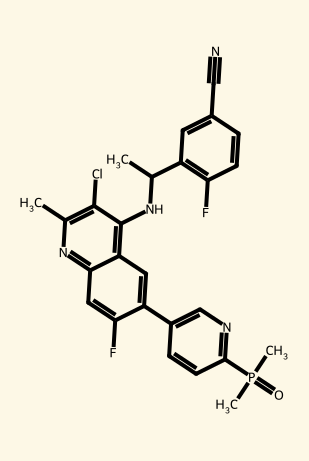 Cc1nc2cc(F)c(-c3ccc(P(C)(C)=O)nc3)cc2c(NC(C)c2cc(C#N)ccc2F)c1Cl